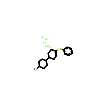 CCC1CCC(C2CC=C(Sc3ccccc3)CC2)CC1.F.F.F.F.F